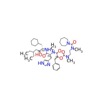 CCC(CC)C[C@H](O)[C@H](CC1CCCCC1)NC(=O)[C@H](Cc1c[nH]cn1)N(C)C(=O)[C@H](Cc1ccccc1)OC(=O)N(C)CCN(C)C(=O)N1CCCCCC1